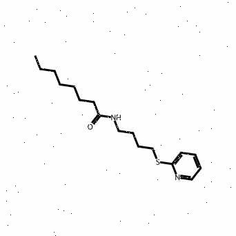 CCCCCCCC(=O)NCCCCSc1ccccn1